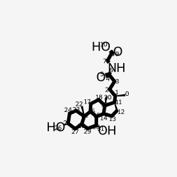 C[C@H](CCC(=O)NCC(=O)O)[C@H]1CCC2C3C(CC[C@@]21C)[C@@]1(C)CC[C@@H](O)CC1C[C@H]3O